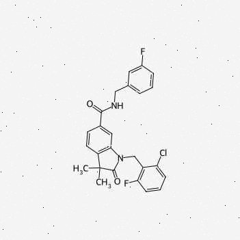 CC1(C)C(=O)N(Cc2c(F)cccc2Cl)c2cc(C(=O)NCc3cccc(F)c3)ccc21